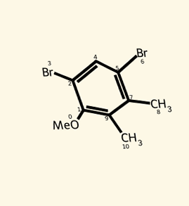 COc1c(Br)cc(Br)c(C)c1C